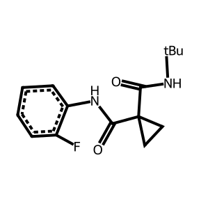 CC(C)(C)NC(=O)C1(C(=O)Nc2ccccc2F)CC1